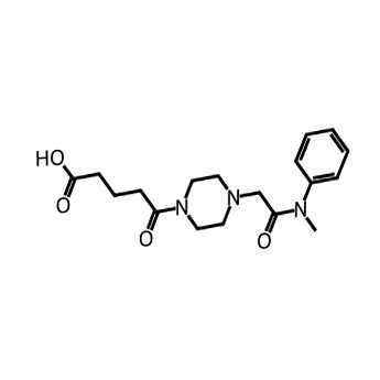 CN(C(=O)CN1CCN(C(=O)CCCC(=O)O)CC1)c1ccccc1